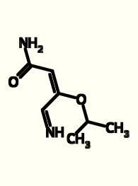 CC(C)O/C(C=N)=C/C(N)=O